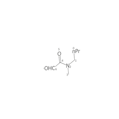 CCCCN(C)C(=O)[C]=O